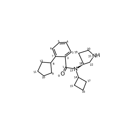 O=C(c1ccccc1C1CCCC1)N(C1CCC1)[C@H]1CCNC1